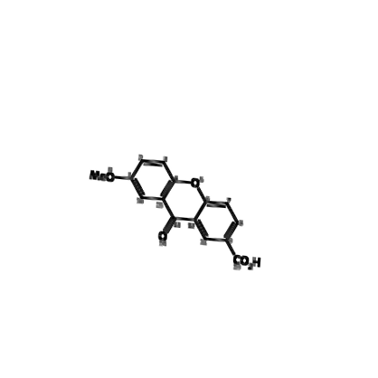 COc1ccc2oc3ccc(C(=O)O)cc3c(=O)c2c1